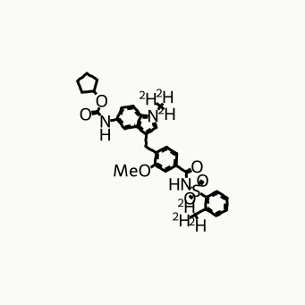 [2H]C([2H])([2H])c1ccccc1S(=O)(=O)NC(=O)c1ccc(Cc2cn(C([2H])([2H])[2H])c3ccc(NC(=O)OC4CCCC4)cc23)c(OC)c1